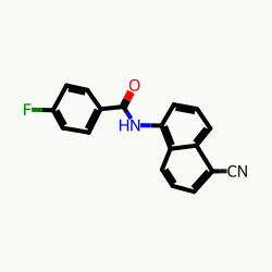 N#Cc1cccc2c(NC(=O)c3ccc(F)cc3)cccc12